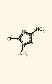 Cn1[c]c([N+](=O)[O-])nc1Cl